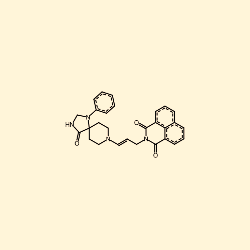 O=C1c2cccc3cccc(c23)C(=O)N1CC=CN1CCC2(CC1)C(=O)NCN2c1ccccc1